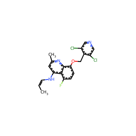 C/C=C\Nc1cc(C)nc2c(OCc3c(Cl)cncc3Cl)ccc(F)c12